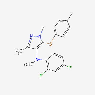 Cc1ccc(Sc2c(N(C=O)c3ccc(F)cc3F)c(C(F)(F)F)nn2C)cc1